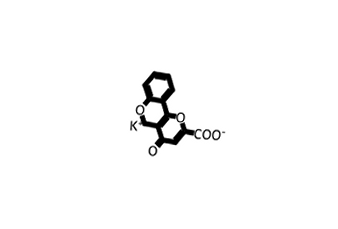 O=C([O-])c1cc(=O)c2c(o1)-c1ccccc1OC2.[K+]